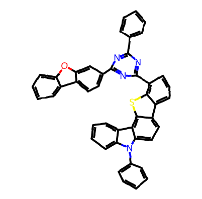 c1ccc(-c2nc(-c3ccc4c(c3)oc3ccccc34)nc(-c3cccc4c3sc3c4ccc4c3c3ccccc3n4-c3ccccc3)n2)cc1